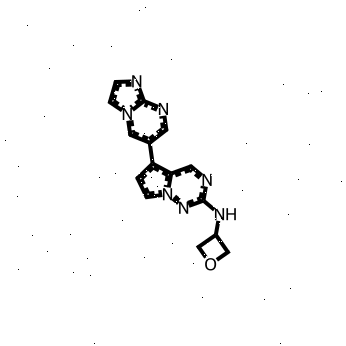 c1cn2cc(-c3ccn4nc(NC5COC5)ncc34)cnc2n1